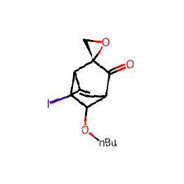 CCCCOC1CC2C(I)=CC1C(=O)[C@]21CO1